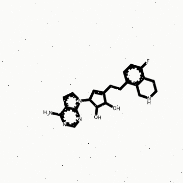 Nc1ncnc2c1ccn2C1C=C(CCc2ccc(F)c3c2CNCC3)C(O)C1O